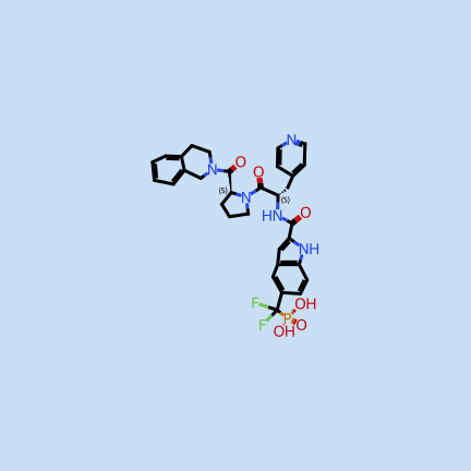 O=C(N[C@@H](Cc1ccncc1)C(=O)N1CCC[C@H]1C(=O)N1CCc2ccccc2C1)c1cc2cc(C(F)(F)P(=O)(O)O)ccc2[nH]1